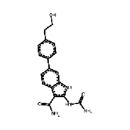 NC(=O)Nc1[nH]c2cc(-c3ccc(CCO)cc3)ccc2c1C(N)=O